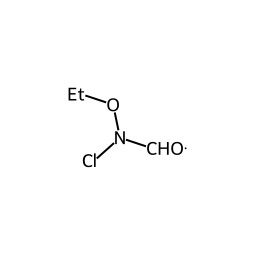 CCON(Cl)[C]=O